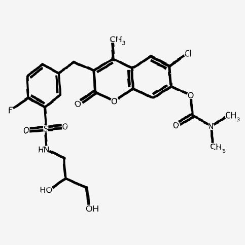 Cc1c(Cc2ccc(F)c(S(=O)(=O)NCC(O)CO)c2)c(=O)oc2cc(OC(=O)N(C)C)c(Cl)cc12